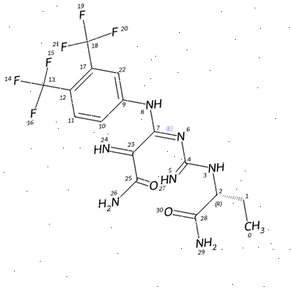 CC[C@@H](NC(=N)/N=C(/Nc1ccc(C(F)(F)F)c(C(F)(F)F)c1)C(=N)C(N)=O)C(N)=O